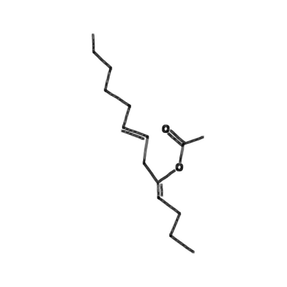 CCC/C=C(/CC=CCCCCC)OC(C)=O